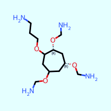 NCCCOC1CC(OCN)C[C@@H](OCN)C[C@H]1OCN